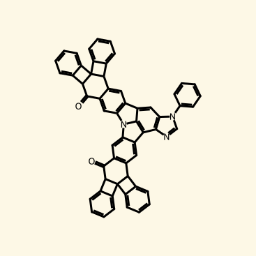 O=C1c2cc3c(cc2C2c4ccccc4C24c2ccccc2C14)c1cc2c(ncn2-c2ccccc2)c2c4cc5c(cc4n3c12)C(=O)C1c2ccccc2C12c1ccccc1C52